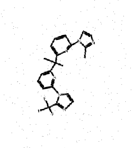 Cc1nccn1-c1cccc(C(C)(C)c2cccc(-n3ccnc3C(F)(F)F)n2)n1